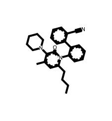 CCCCc1cc(C)c(N2CCCCC2)c(=O)n1-c1ccccc1-c1ccccc1C#N